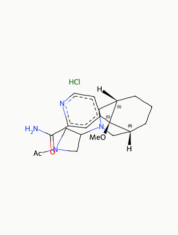 CO[C@]1(c2ccnc(C(N)=O)c2)[C@@H]2CCC[C@H]1CN(C1CN(C(C)=O)C1)C2.Cl